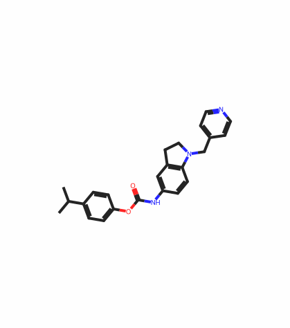 CC(C)c1ccc(OC(=O)Nc2ccc3c(c2)CCN3Cc2ccncc2)cc1